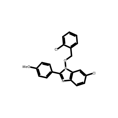 COc1ccc(-c2nc3ccc(Cl)cc3n2OCc2ccccc2Cl)cc1